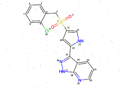 O=S(=O)(Cc1ccccc1Cl)c1c[nH]c(-c2n[nH]c3ncccc23)c1